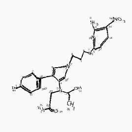 CCc1ccc(-c2cn(CCCNc3ccc([N+](=O)[O-])c(N)n3)cc2N(CC(N)=O)C(C)O)cc1